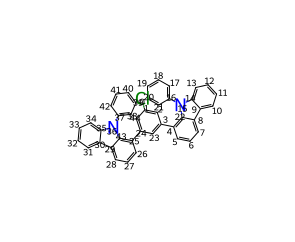 Clc1cc(-c2cccc3c4ccccc4n(-c4ccccc4)c23)cc(-c2cccc3c4ccccc4n(-c4ccccc4)c23)c1